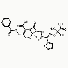 CC(C)(ON=C(C(=O)N[C@@H]1C(=O)N2C(C(=O)O)=C(COC(=O)c3ccccc3)CS[C@H]12)c1ccco1)C(=O)O